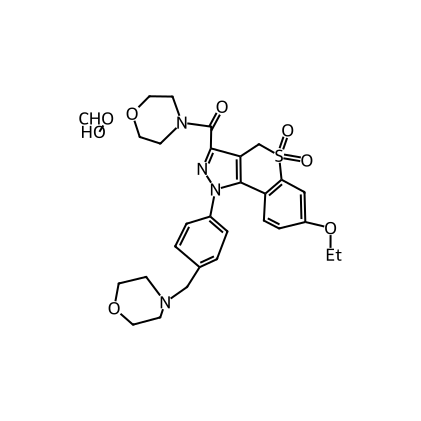 CCOc1ccc2c(c1)S(=O)(=O)Cc1c(C(=O)N3CCOCC3)nn(-c3ccc(CN4CCOCC4)cc3)c1-2.O=CO